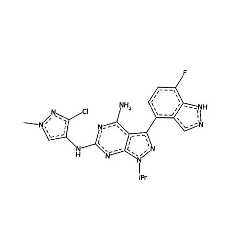 CC(C)n1nc(-c2ccc(F)c3[nH]ncc23)c2c(N)nc(Nc3cn(C)nc3Cl)nc21